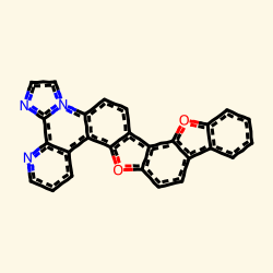 c1ccc2c(c1)oc1c2ccc2oc3c(ccc4c3c3cccnc3c3nccn43)c21